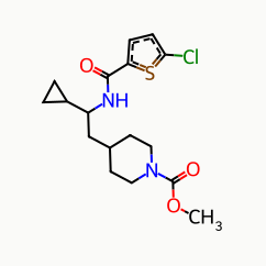 COC(=O)N1CCC(CC(NC(=O)c2ccc(Cl)s2)C2CC2)CC1